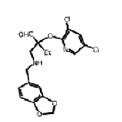 CCC(C=O)(CNCc1ccc2c(c1)OCO2)Oc1ncc(Cl)cc1Cl